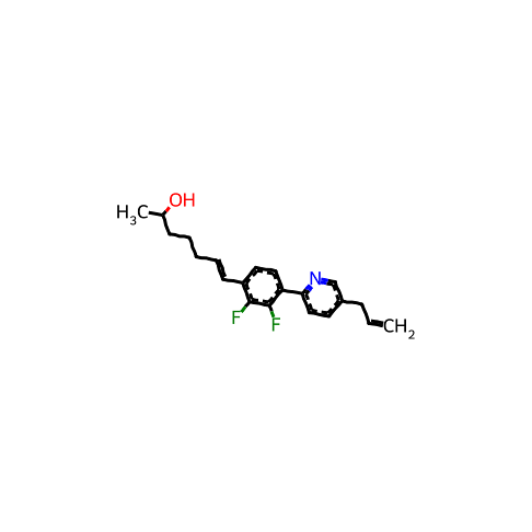 C=CCc1ccc(-c2ccc(C=CCCCC(C)O)c(F)c2F)nc1